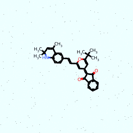 CC1=CC(C)(C)Nc2ccc(C=CC3=CC(=C4C(=O)c5ccccc5C4=O)C=C(C(C)(C)C)O3)cc21